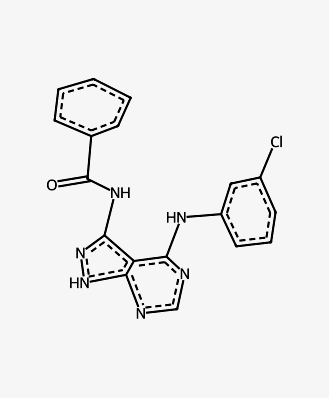 O=C(Nc1n[nH]c2ncnc(Nc3cccc(Cl)c3)c12)c1ccccc1